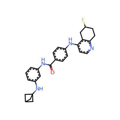 O=C(Nc1cccc(NC23CC(C2)C3)c1)c1ccc(Nc2ccnc3c2CC(F)CC3)cc1